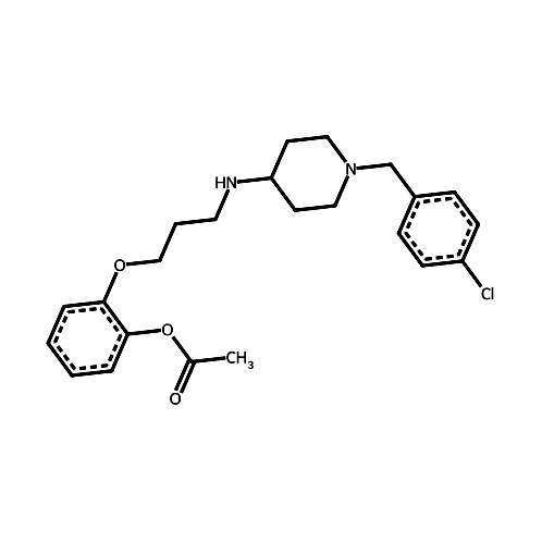 CC(=O)Oc1ccccc1OCCCNC1CCN(Cc2ccc(Cl)cc2)CC1